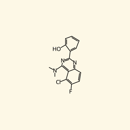 CN(C)c1nc(-c2ccccc2O)nc2ccc(F)c(Cl)c12